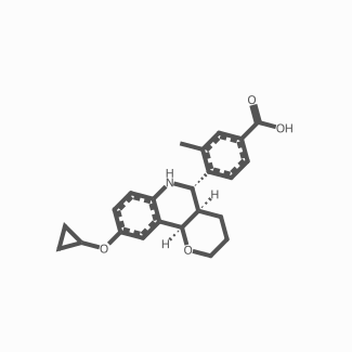 Cc1cc(C(=O)O)ccc1[C@H]1Nc2ccc(OC3CC3)cc2[C@@H]2OCCC[C@H]12